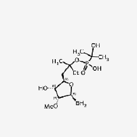 B[C@@H]1O[C@H](CC(C)(CC)OP(=O)(O)C(C)(C)O)[C@@H](O)[C@H]1OC